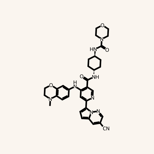 CN1CCOc2cc(Nc3cc(-c4ccc5cc(C#N)cnn45)ncc3C(=O)N[C@H]3CC[C@H](NC(=O)N4CCOCC4)CC3)ccc21